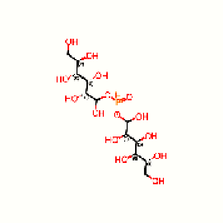 O=[PH](OC(O)[C@H](O)[C@@H](O)[C@H](O)[C@H](O)CO)OC(O)[C@H](O)[C@@H](O)[C@H](O)[C@H](O)CO